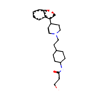 O=C(CCO)NC1CCC(CCN2CCC(c3coc4ccccc34)CC2)CC1